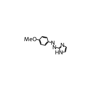 COc1ccc(N=Nc2ncc[nH]2)cc1